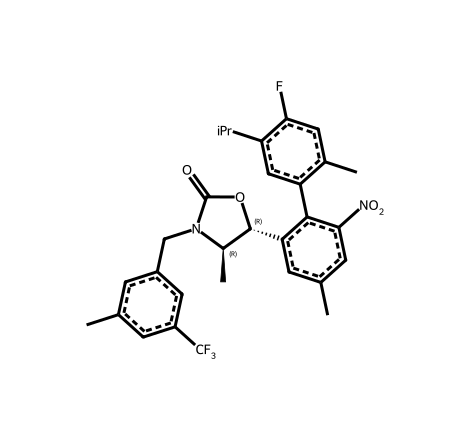 Cc1cc(CN2C(=O)O[C@H](c3cc(C)cc([N+](=O)[O-])c3-c3cc(C(C)C)c(F)cc3C)[C@H]2C)cc(C(F)(F)F)c1